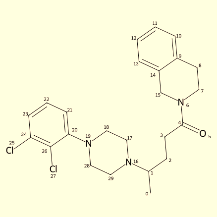 CC(CCC(=O)N1CCc2ccccc2C1)N1CCN(c2cccc(Cl)c2Cl)CC1